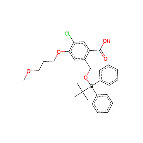 COCCCOc1cc(CO[Si](c2ccccc2)(c2ccccc2)C(C)(C)C)c(C(=O)O)cc1Cl